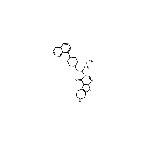 CC(CN1CCN(c2cccc3ccccc23)CC1)n1cnc2sc3c(c2c1=O)CCNC3.Cl.Cl